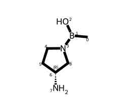 CB(O)N1CC[C@@H](N)C1